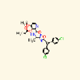 CCC(=O)Oc1c(OC)ccnc1C(=O)N[C@@H](C)c1noc(C2C(c3ccc(Cl)cc3)C2c2ccc(Cl)cc2)n1